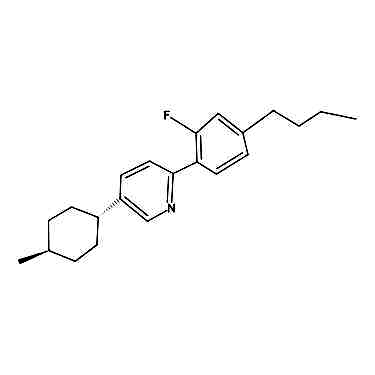 CCCCc1ccc(-c2ccc([C@H]3CC[C@H](C)CC3)cn2)c(F)c1